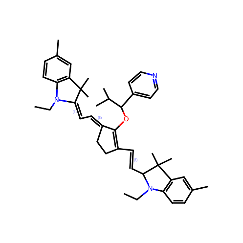 CCN1/C(=C/C=C2\CCC(/C=C/C3N(CC)c4ccc(C)cc4C3(C)C)=C2OC(c2ccncc2)C(C)C)C(C)(C)c2cc(C)ccc21